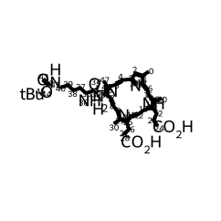 CC1=Cc2cc3[nH]c(cc4nc(cc5[nH]c(cc1n2)c(C)c5CCC(=O)O)C(CCC(=O)O)=C4C)c(NC(=O)C(N)CCCCNC(=O)OC(C)(C)C)c3C